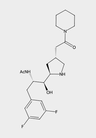 CC(=O)N[C@@H](Cc1cc(F)cc(F)c1)[C@H](O)[C@H]1C[C@H](CC(=O)N2CCCCC2)CN1